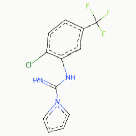 N=C(Nc1cc(C(F)(F)F)ccc1Cl)n1cccc1